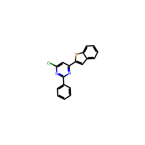 Clc1cc(-c2cc3ccccc3s2)nc(-c2ccccc2)n1